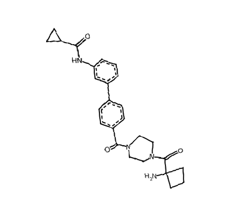 NC1(C(=O)N2CCN(C(=O)c3ccc(-c4cccc(NC(=O)C5CC5)c4)cc3)CC2)CCC1